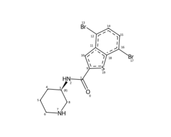 O=C(N[C@@H]1CCCNC1)c1cc2c(Br)ccc(Br)c2s1